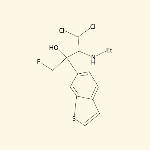 CCNC(C(Cl)Cl)C(O)(CF)c1ccc2ccsc2c1